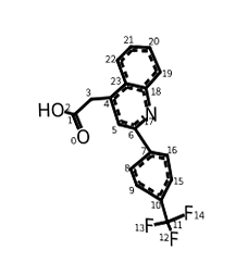 O=C(O)Cc1cc(-c2ccc(C(F)(F)F)cc2)nc2ccccc12